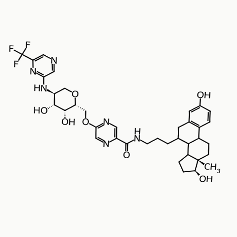 C[C@]12CCC3c4ccc(O)cc4CC(CCCNC(=O)c4cnc(OC[C@H]5OC[C@H](Nc6cncc(C(F)(F)F)n6)[C@@H](O)[C@H]5O)cn4)C3C1CC[C@@H]2O